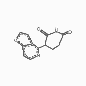 O=C1CCC(c2nccc3occc23)C(=O)N1